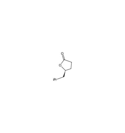 CC(C)C[C@@H]1CCC(=O)O1